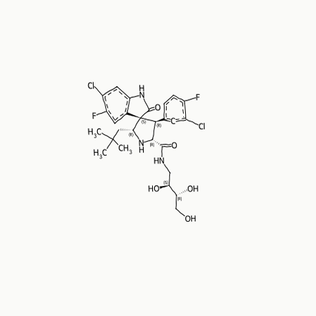 CC(C)(C)C[C@H]1N[C@@H](C(=O)NC[C@H](O)[C@H](O)CO)[C@H](c2ccc(F)c(Cl)c2)[C@@]12C(=O)Nc1cc(Cl)c(F)cc12